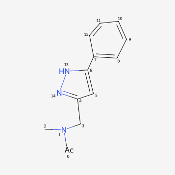 CC(=O)N(C)Cc1cc(-c2ccccc2)[nH]n1